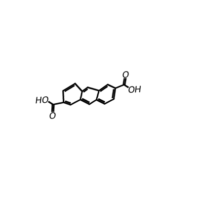 O=C(O)c1ccc2cc3cc(C(=O)O)ccc3cc2c1